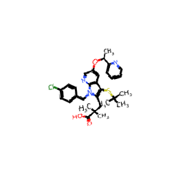 C[C@H](Oc1cnc2c(c1)c(SC(C)(C)C)c(CC(C)(C)C(=O)O)n2Cc1ccc(Cl)cc1)c1ccccn1